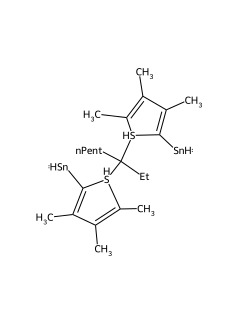 CCC[CH]CC(CC)([SH]1C(C)=C(C)C(C)=[C]1[SnH])[SH]1C(C)=C(C)C(C)=[C]1[SnH]